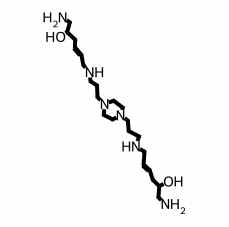 NCC(O)CC=CCNCCCN1CCN(CCCNCC=CCC(O)CN)CC1